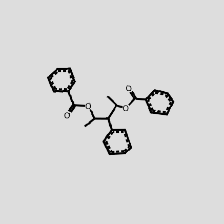 CC(OC(=O)c1ccccc1)C(c1ccccc1)C(C)OC(=O)c1ccccc1